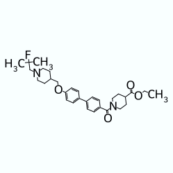 CCOC(=O)C1CCN(C(=O)c2ccc(-c3ccc(OCC4CCN(CC(C)(C)F)CC4)cc3)cc2)CC1